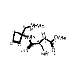 COC(=O)N[C@H](C(=O)NC1(CNC(C)=O)CCC1)C(C)C